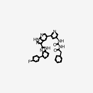 O=C(Cc1ccccc1)NC(=O)Nc1cncc(-c2cnc3[nH]nc(-c4nc5c(-c6ccc(F)cc6)cccc5[nH]4)c3c2)c1